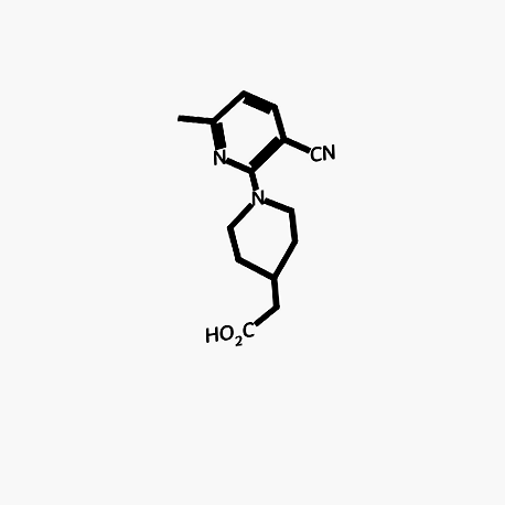 Cc1ccc(C#N)c(N2CCC(CC(=O)O)CC2)n1